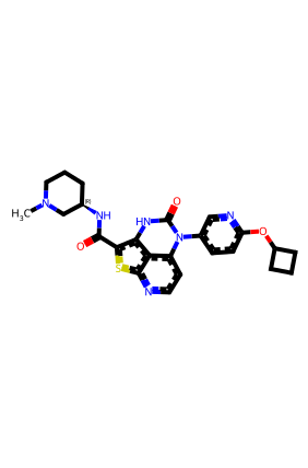 CN1CCC[C@@H](NC(=O)c2sc3nccc4c3c2NC(=O)N4c2ccc(OC3CCC3)nc2)C1